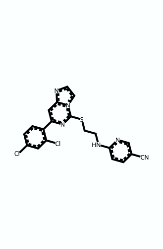 N#Cc1ccc(NCCSc2nc(-c3ccc(Cl)cc3Cl)cc3nccn23)nc1